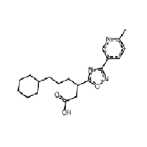 Cc1ccc(-c2noc(C(CCCC3CCCCC3)CC(=O)O)n2)cn1